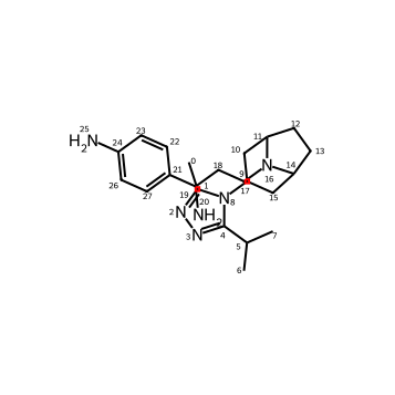 Cc1nnc(C(C)C)n1C1CC2CCC(C1)N2CCC(N)c1ccc(N)cc1